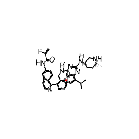 C=C(F)C(=O)Nc1ccc2c(-c3ccccc3CNc3nc(N[C@@H]4CC[C@@H](C)NC4)nc4c(C(C)C)cnn34)nccc2c1